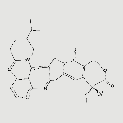 CCC1=Nc2cccc3nc4c(c(c23)N1CCC(C)C)Cn1c-4cc2c(c1=O)COC(=O)[C@]2(O)CC